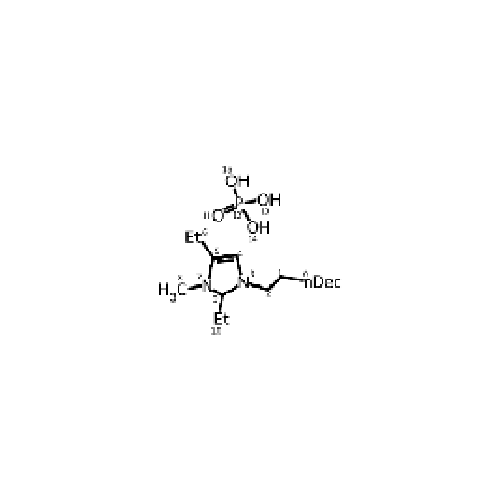 CCCCCCCCCCCCN1C=C(CC)N(C)C1CC.O=P(O)(O)O